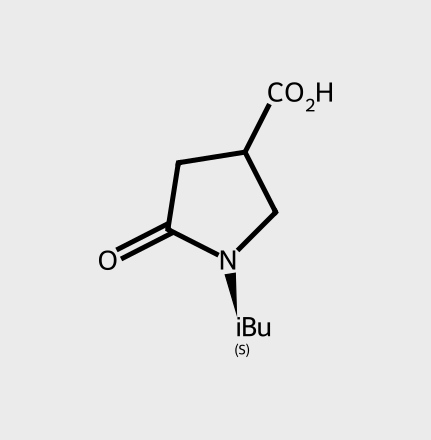 CC[C@H](C)N1CC(C(=O)O)CC1=O